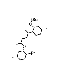 CC(CCC(C)[C@@H]1CC[C@@H](C)C[C@H]1OC(C)(C)C)O[C@H]1C[C@@H](C)CC[C@@H]1C(C)C